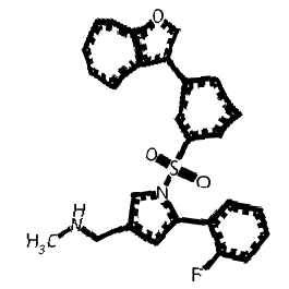 CNCc1cc(-c2ccccc2F)n(S(=O)(=O)c2cccc(-c3coc4ccccc34)c2)c1